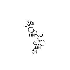 N#CCNC(=O)[C@@H]1CCCC[C@@H]1NC(=O)c1cc2cc(S(N)(=O)=O)ccc2[nH]1